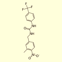 Cc1cc(CNC(=O)Nc2ccc(C(F)(F)F)cc2)ccc1[N+](=O)[O-]